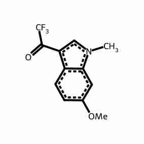 COc1ccc2c(C(=O)C(F)(F)F)cn(C)c2c1